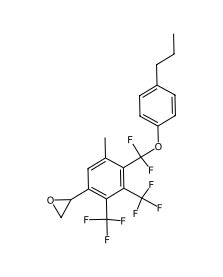 CCCc1ccc(OC(F)(F)c2c(C)cc(C3CO3)c(C(F)(F)F)c2C(F)(F)F)cc1